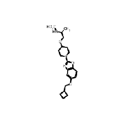 C[C@@H](COC1CCN(c2nc3cc(OCC4CCC4)ccc3o2)CC1)NC(=O)O